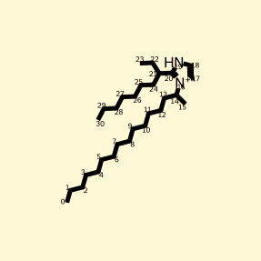 CCCCCCCCCCCCCCC(C)[n+]1cc[nH]c1C(CC)CCCCCCC